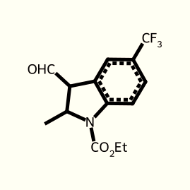 CCOC(=O)N1c2ccc(C(F)(F)F)cc2C(C=O)C1C